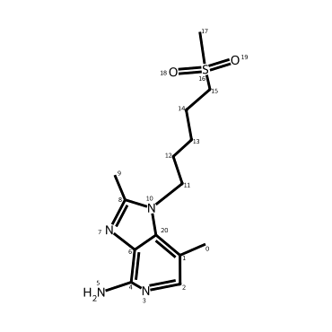 Cc1cnc(N)c2nc(C)n(CCCCCS(C)(=O)=O)c12